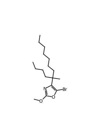 CCCCCCCC(C)(CCCC)c1nc(OC)oc1Br